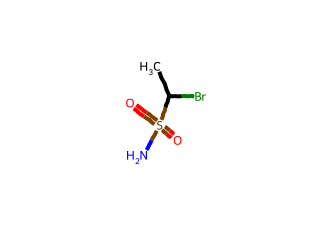 CC(Br)S(N)(=O)=O